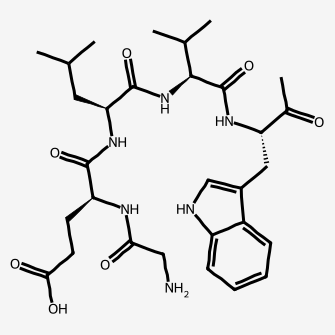 CC(=O)[C@H](Cc1c[nH]c2ccccc12)NC(=O)[C@@H](NC(=O)[C@H](CC(C)C)NC(=O)[C@H](CCC(=O)O)NC(=O)CN)C(C)C